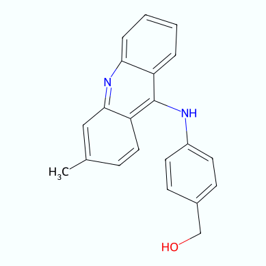 Cc1ccc2c(Nc3ccc(CO)cc3)c3ccccc3nc2c1